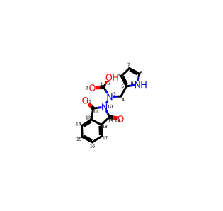 O=C(O)N(Cc1ccc[nH]1)N1C(=O)c2ccccc2C1=O